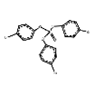 O=P(Oc1ccc(Br)cc1)(Oc1ccc(Br)cc1)Oc1ccc(Br)cc1